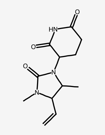 C=CC1C(C)N(C2CCC(=O)NC2=O)C(=O)N1C